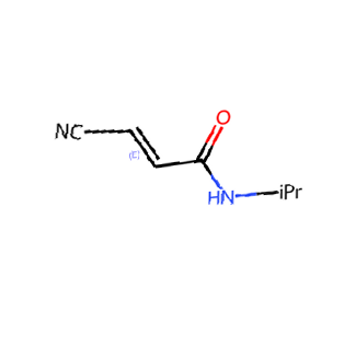 CC(C)NC(=O)/C=C/C#N